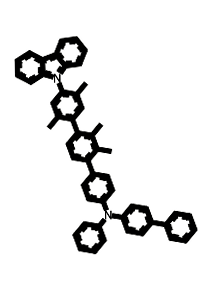 Cc1cc(-n2c3ccccc3c3ccccc32)c(C)cc1-c1ccc(-c2ccc(N(c3ccccc3)c3ccc(-c4ccccc4)cc3)cc2)c(C)c1C